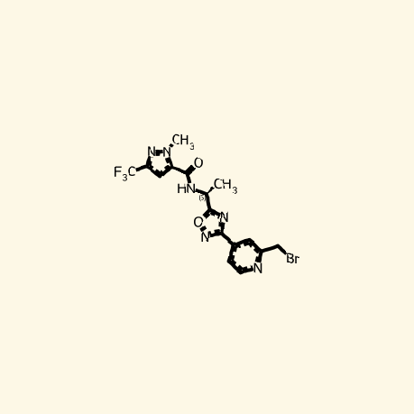 C[C@H](NC(=O)c1cc(C(F)(F)F)nn1C)c1nc(-c2ccnc(CBr)c2)no1